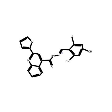 O=C(N/N=C/c1c(O)cc(O)cc1O)c1cc(-c2ccco2)nc2ccccc12